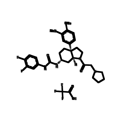 COc1ccc([C@@]23CC[C@@H](NC(=O)Nc4ccc(F)c(F)c4)C[C@@H]2N(C(=O)CN2CCCC2)CC3)cc1OC.O=C(O)C(F)(F)F